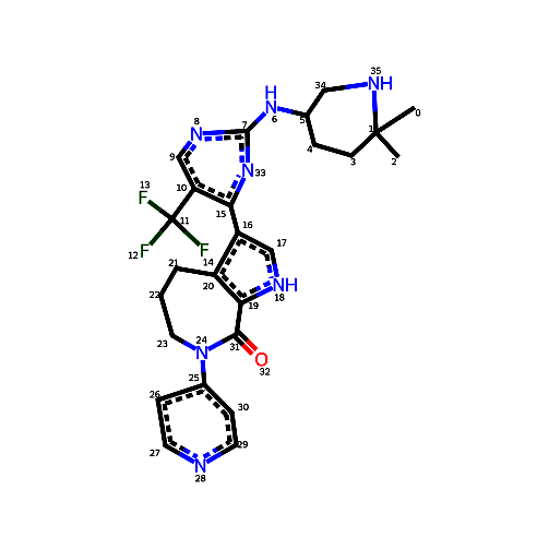 CC1(C)CCC(Nc2ncc(C(F)(F)F)c(-c3c[nH]c4c3CCCN(c3ccncc3)C4=O)n2)CN1